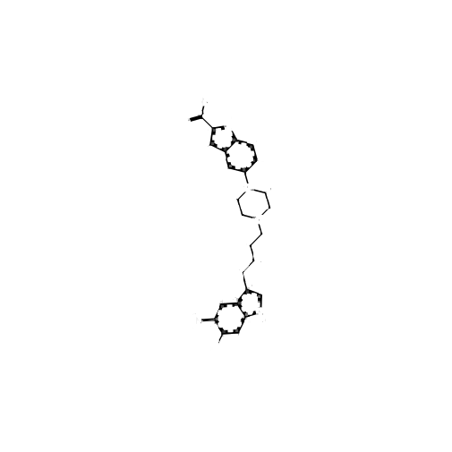 NC(=O)c1cc2cc(N3CCN(CCCCc4c[nH]c5cc(O)c(N)cc45)CC3)ccc2o1